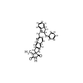 CN1C(=O)NC(=O)C12Cc1cc3ccc(CN4c5ccccc5CC4Cc4ccccc4)nc3cc1C2